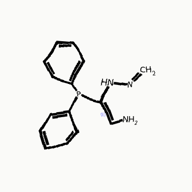 C=NN/C(=C\N)P(c1ccccc1)c1ccccc1